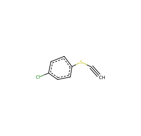 C#CSc1ccc(Cl)cc1